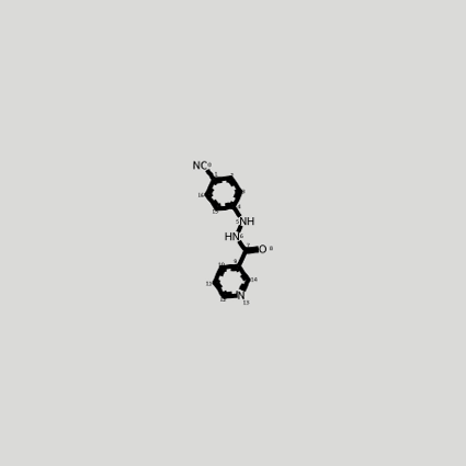 N#Cc1ccc(NNC(=O)c2cccnc2)cc1